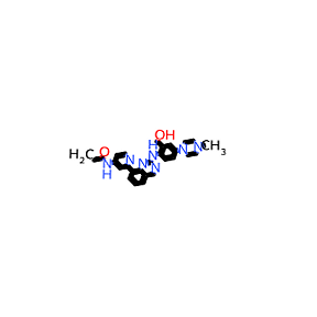 C=CC(=O)Nc1ccnc(-c2cccc3cnc(Nc4ccc(N5CCN(C)CC5)cc4CO)nc23)c1